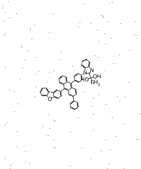 BC(O)(O)c1nc2ccccc2n1-c1ccc(-c2c3ccccc3c(-c3ccc4oc5ccccc5c4c3)c3cc(-c4ccccc4)ccc23)cc1